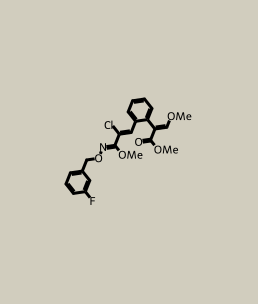 CO/C=C(/C(=O)OC)c1ccccc1C=C(Cl)/C(=N/OCc1cccc(F)c1)OC